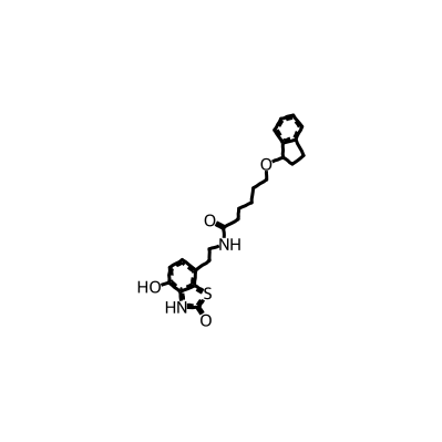 O=C(CCCCCOC1CCc2ccccc21)NCCc1ccc(O)c2[nH]c(=O)sc12